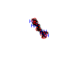 C=CC[C@@H](NC(=O)OC)C(=O)N1C[C@@H](COC)C[C@H]1c1ncc(-c2ccc3c(c2)COc2cc4c(ccc5nc([C@@H]6CC[C@H](C)N6C(=O)[C@@H](NC(=O)OC)C(C)C)[nH]c54)cc2-3)[nH]1